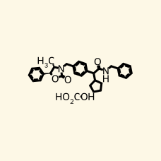 C[C@@H]1[C@H](c2ccccc2)OC(=O)N1Cc1ccc(C(C(=O)NCc2ccccc2)C2CCCC2)cc1.O=C(O)O